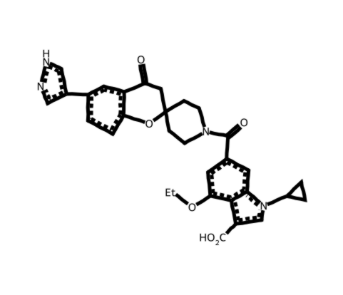 CCOc1cc(C(=O)N2CCC3(CC2)CC(=O)c2cc(-c4cn[nH]c4)ccc2O3)cc2c1c(C(=O)O)cn2C1CC1